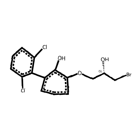 Oc1c(OC[C@H](O)CBr)cccc1-c1c(Cl)cccc1Cl